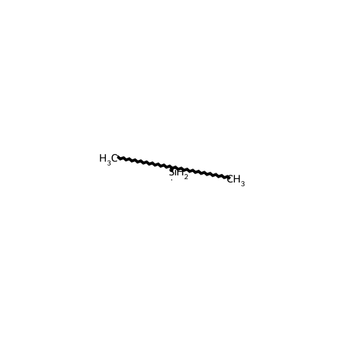 CCCCCCCCCCCCCCCCCCCCC([SiH2])CCCCCCCCCCCCCCCCCCCC